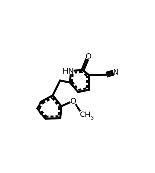 COc1ccccc1Cc1ccc(C#N)c(=O)[nH]1